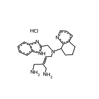 Cl.NCC(=CCN(Cc1nc2ccccc2[nH]1)C1CCCc2cccnc21)CN